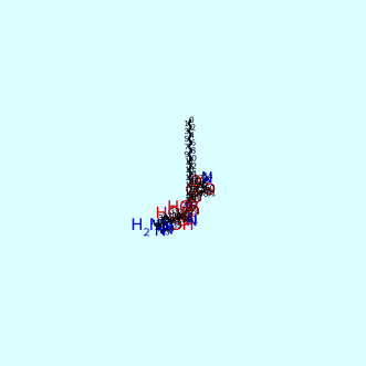 CCCCCCCCCCCCCCCCCCOC[C@H](COP(=O)(O)OC[C@@H](OC#N)[C@@H](O)[C@@H](O)c1ccc2c(N)ncnn12)Oc1cc(OC)c(C#N)c(OC)c1